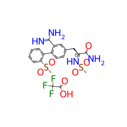 CS(=O)(=O)N[C@@H](Cc1ccc(-c2ccccc2S(C)(=O)=O)c(C(=N)N)c1)C(N)=O.O=C(O)C(F)(F)F